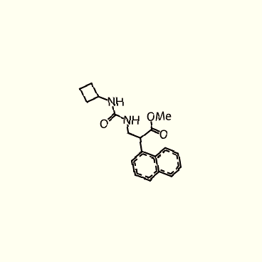 COC(=O)C(CNC(=O)NC1CCC1)c1cccc2ccccc12